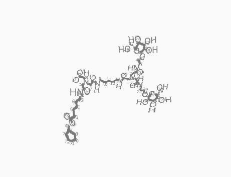 O=C(O)CN(CC(=O)NCCCCCNC(=O)CN(CC(=O)NCCO[C@H]1O[C@H](CO)[C@@H](O)[C@H](O)[C@@H]1O)CC(=O)NCCO[C@H]1O[C@H](CO)[C@@H](O)[C@H](O)[C@@H]1O)CC(=O)NCCCCCC(=O)OCc1ccccc1